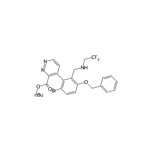 CCCCOC(=O)c1nnccc1-c1c(Br)ccc(OCc2ccccc2)c1CNCC(F)(F)F